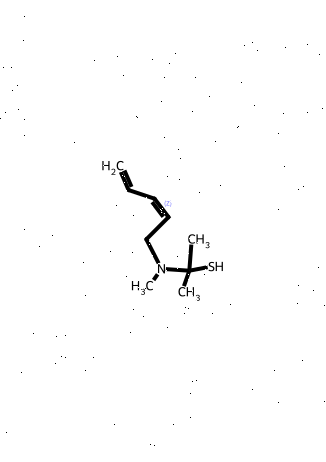 C=C/C=C\CN(C)C(C)(C)S